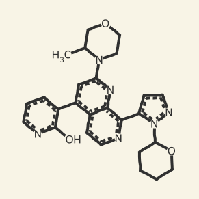 CC1COCCN1c1cc(-c2cccnc2O)c2ccnc(-c3ccnn3C3CCCCO3)c2n1